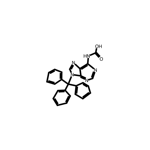 O=C(O)Nc1ncnc2c1ncn2C(c1ccccc1)(c1ccccc1)c1ccccc1